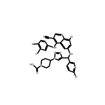 N#Cc1cnc2c(Cl)cc(NC(c3ccc(Cl)nc3)c3cn(C4CCN(C(=O)O)CC4)nn3)cc2c1Nc1ccc(F)c(Cl)c1